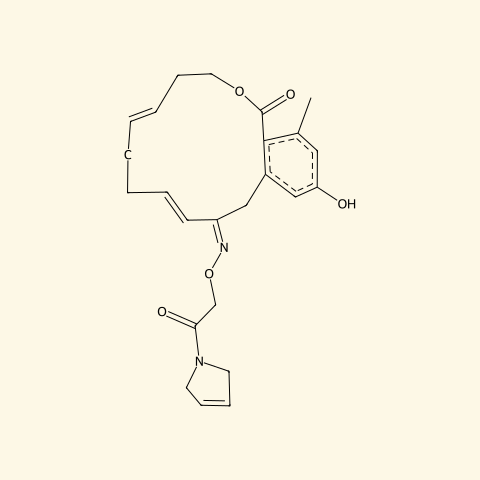 Cc1cc(O)cc2c1C(=O)OCC/C=C/CC/C=C/C(=N\OCC(=O)N1CC=CC1)C2